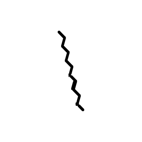 CCCCCCS/C=C/COC